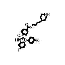 O=C(NCCCCC1CCNCC1)c1ccc(S(=O)(=O)Nc2cc(F)ccc2Oc2ccc(Br)cc2)cc1